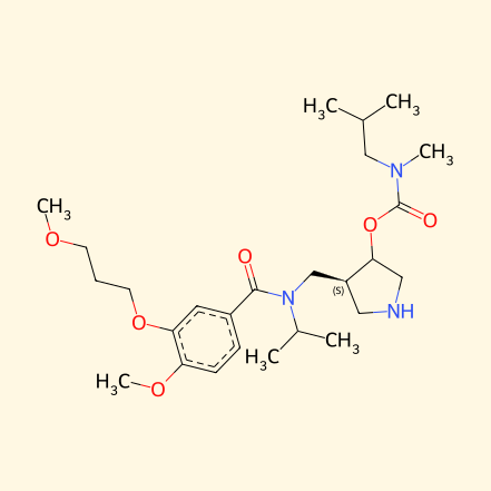 COCCCOc1cc(C(=O)N(C[C@@H]2CNCC2OC(=O)N(C)CC(C)C)C(C)C)ccc1OC